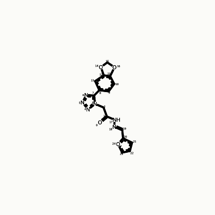 O=C(Cn1nnnc1-c1ccc2c(c1)OCO2)N/N=C/c1ccco1